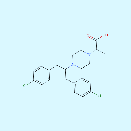 CC(C(=O)O)N1CCN(C(Cc2ccc(Cl)cc2)Cc2ccc(Cl)cc2)CC1